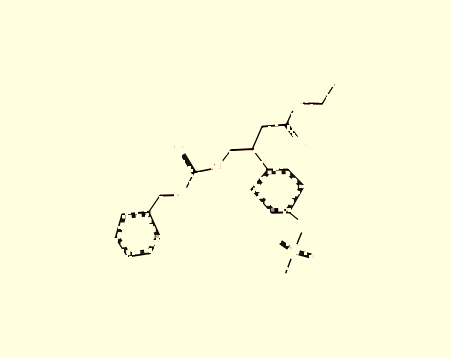 CCOC(=O)CC(CNC(=O)OCc1ccccc1)c1ccc(OS(C)(=O)=O)cc1